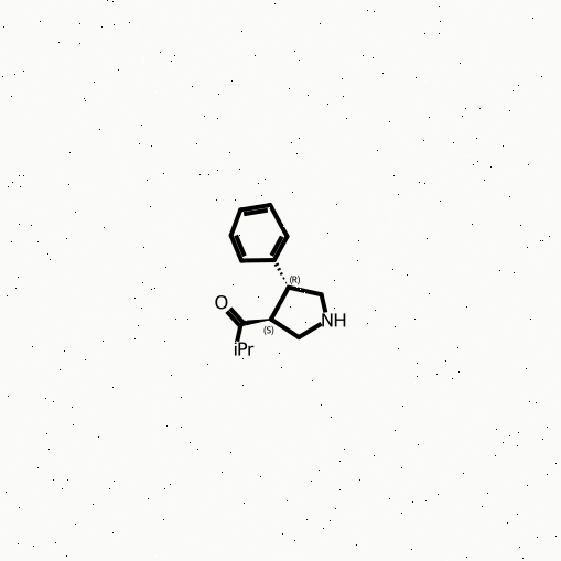 CC(C)C(=O)[C@@H]1CNC[C@H]1c1ccccc1